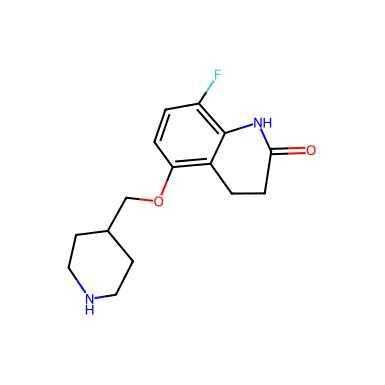 O=C1CCc2c(OCC3CCNCC3)ccc(F)c2N1